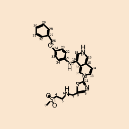 CS(=O)(=O)CCNCc1cnc(N2C=CC3=CNC=C(Nc4ccc(OCc5ccccc5)cc4)C3=C2)s1